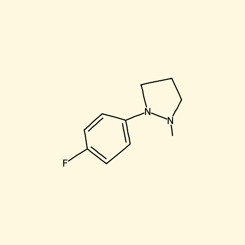 CN1CCCN1c1ccc(F)cc1